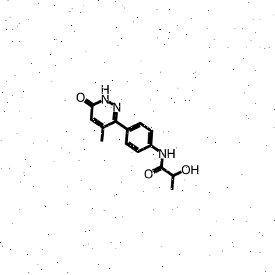 Cc1cc(=O)[nH]nc1-c1ccc(NC(=O)C(C)O)cc1